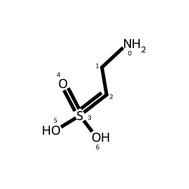 NCC=S(=O)(O)O